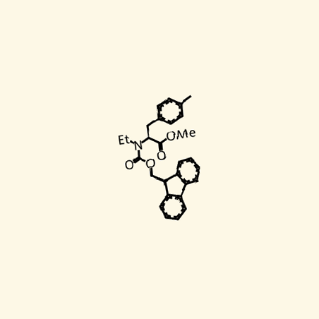 CCN(C(=O)OCC1c2ccccc2-c2ccccc21)[C@@H](Cc1ccc(C)cc1)C(=O)OC